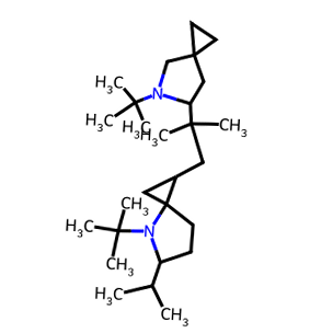 CC(C)C1CCC2(CC2CC(C)(C)C2CC3(CC3)CN2C(C)(C)C)N1C(C)(C)C